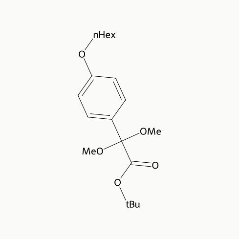 CCCCCCOc1ccc(C(OC)(OC)C(=O)OC(C)(C)C)cc1